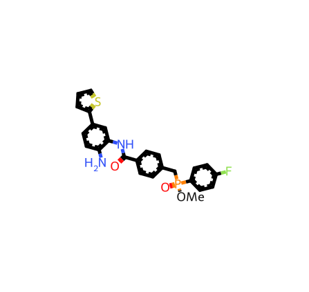 COP(=O)(Cc1ccc(C(=O)Nc2cc(-c3cccs3)ccc2N)cc1)c1ccc(F)cc1